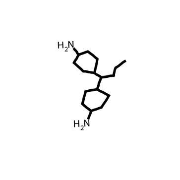 CCCC(C1CCC(N)CC1)C1CCC(N)CC1